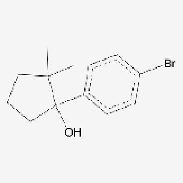 CC1(C)CCCC1(O)c1ccc(Br)cc1